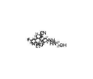 CCN1C(=O)N(c2c(F)cc(NCCNCCO)cc2F)c2cc(C#N)ccc2-c2cc(F)cnc21